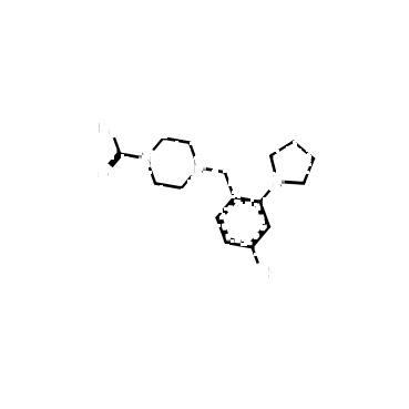 CC(C)C(=O)N1CCN(Cc2ccc(C(F)(F)F)cc2N2CCCC2)CC1